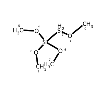 CO[SiH2][Si](OC)(OC)OC